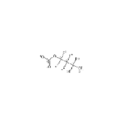 [O]C(=O)OC(F)(F)C(F)(F)C(F)(F)C(F)(F)F